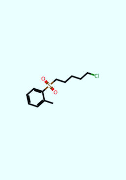 Cc1ccccc1S(=O)(=O)CCCCCCl